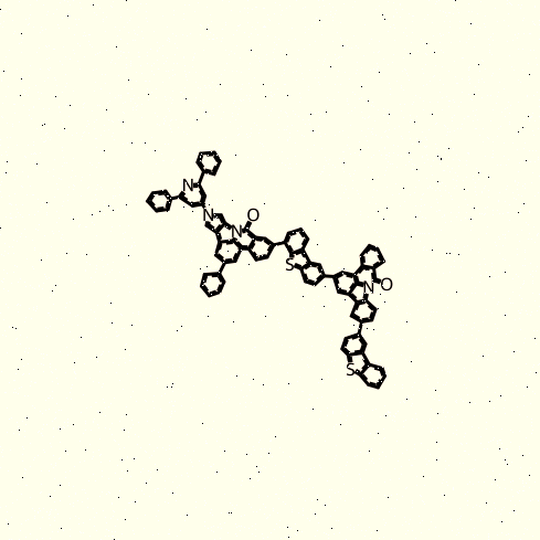 O=c1c2ccccc2c2cc(-c3ccc4sc5c(-c6ccc7c(c6)c(=O)n6c8cn(-c9cc(-c%10ccccc%10)nc(-c%10ccccc%10)c9)cc8c8cc(-c9ccccc9)cc7c86)cccc5c4c3)cc3c4cc(-c5ccc6sc7ccccc7c6c5)ccc4n1c23